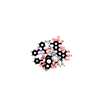 CC(=O)O[C@H]1C(=O)[C@@]2(C)[C@H]([C@H](OC(=O)c3ccccc3)[C@]3(O)C[C@H](OC(=O)[C@H](O)[C@@H](NC(=O)c4ccccc4)c4ccccc4)C(C)=C1C3(C)C)[C@]1(OC(C)=O)CO[C@@H]1C[C@@H]2O.Cc1cc2c(C(C)C)c(O)c(O)c(C=O)c2c(O)c1-c1c(C)cc2c(C(C)C)c(O)c(O)c(C=O)c2c1O